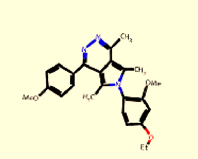 CCOc1ccc(-n2c(C)c3c(C)nnc(-c4ccc(OC)cc4)c3c2C)c(OC)c1